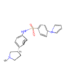 CCCN1CC[C@@H](c2ccc(NS(=O)(=O)c3ccc(-n4cccc4)cc3)cc2)C1